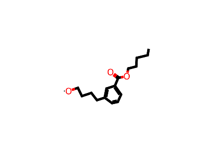 CCCCCOC(=O)c1cccc(CCCC[O])c1